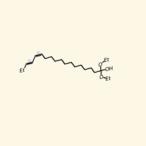 CC/C=C/C=C\CCCCCCCCCCCC(O)(OCC)OCC